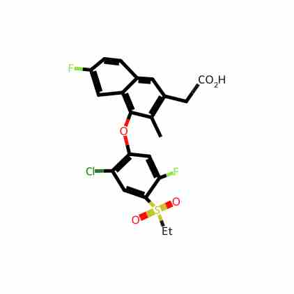 CCS(=O)(=O)c1cc(Cl)c(Oc2c(C)c(CC(=O)O)cc3ccc(F)cc23)cc1F